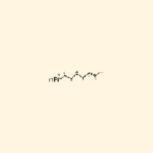 [CH2]C=CCCCCCCC